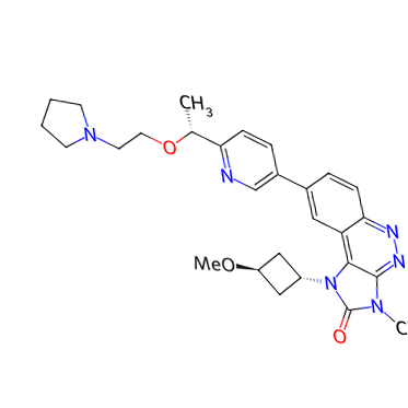 CO[C@H]1C[C@H](n2c(=O)n(C)c3nnc4ccc(-c5ccc([C@@H](C)OCCN6CCCC6)nc5)cc4c32)C1